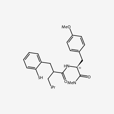 CNC(=O)[C@H](Cc1ccc(OC)cc1)NC(=O)C(Cc1ccccc1S)CC(C)C